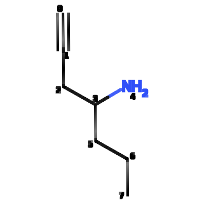 C#CCC(N)CCC